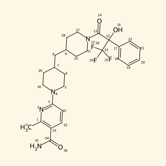 Cc1nc(N2CCC(CC3CCN(C(=O)C(O)(c4ccccc4)C(F)(F)F)CC3)CC2)ccc1C(N)=O